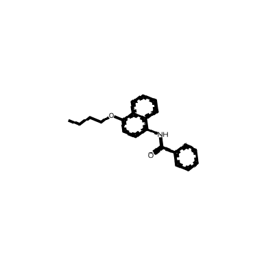 CCCCOc1ccc(NC(=O)c2ccccc2)c2ccccc12